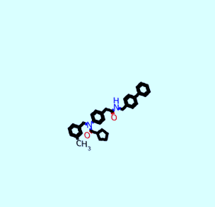 Cc1cccc(CN(C(=O)C2CCCC2)c2ccc(CC(=O)NCc3ccc(-c4ccccc4)cc3)cc2)c1